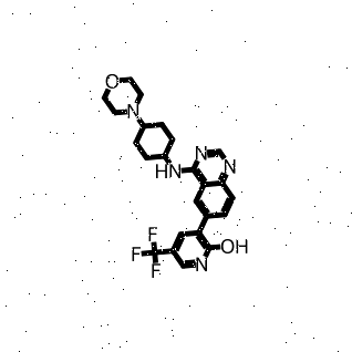 Oc1ncc(C(F)(F)F)cc1-c1ccc2ncnc(NC3CCC(N4CCOCC4)CC3)c2c1